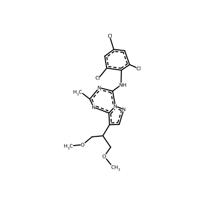 COCC(COC)c1cnn2c(Nc3c(Cl)cc(Cl)cc3Cl)nc(C)nc12